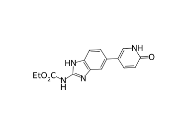 CCOC(=O)Nc1nc2cc(-c3ccc(=O)[nH]c3)ccc2[nH]1